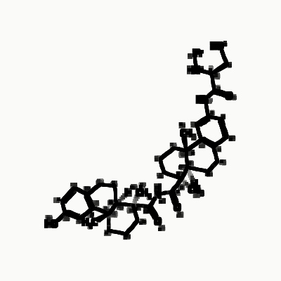 CC(C)N[C@@H](CO)C(=O)Nc1ccc2c(c1)[C@@]1(C)CCC[C@](C)(C(=O)NC(=O)[C@@]3(C)CCC[C@]4(C)c5cc(O)ccc5CC[C@@H]34)[C@@H]1CC2